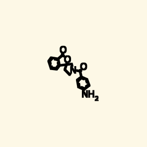 Nc1ccc(C(=O)N2CCC3(C2)OC(=O)c2ccccc23)cc1